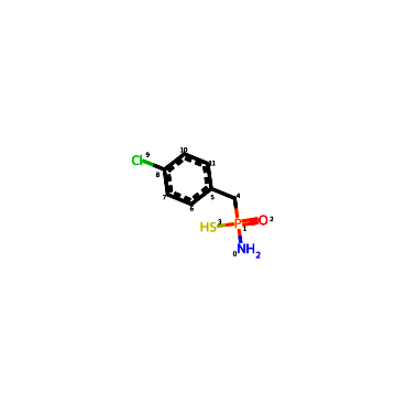 NP(=O)(S)Cc1ccc(Cl)cc1